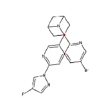 Fc1cnn(-c2ccc(CN3C4CC3CN(c3ccc(Br)cn3)C4)cn2)c1